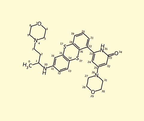 CC(CCN1CCOCC1)Nc1ccc2c(c1)Sc1cccc(-c3cc(N4CCOCC4)cc(=O)[nH]3)c1S2